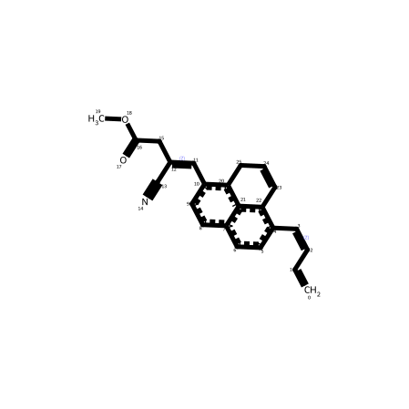 C=C/C=C\c1ccc2ccc(/C=C(\C#N)CC(=O)OC)c3c2c1C=CC3